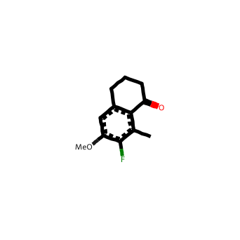 COc1cc2c(c(C)c1F)C(=O)CCC2